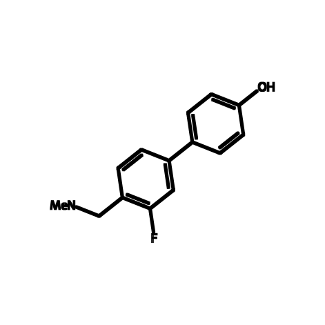 CNCc1ccc(-c2ccc(O)cc2)cc1F